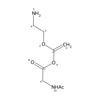 C=C(OCCN)OC(=O)CNC(C)=O